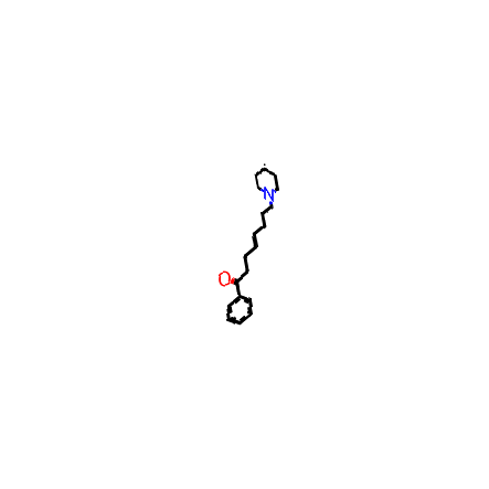 O=C(CCCCCCCN1CC[CH]CC1)c1ccccc1